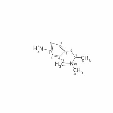 CC(Cc1ccc(N)cc1)N(C)C